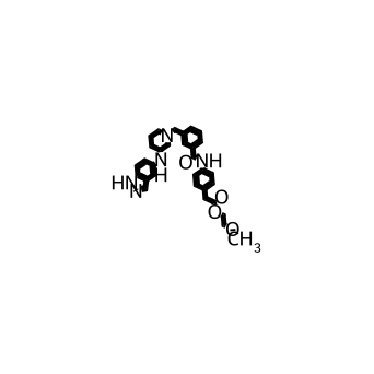 COCCOC(=O)Cc1ccc(NC(=O)c2cccc(CN3CCCC(Nc4ccc5[nH]ncc5c4)C3)c2)cc1